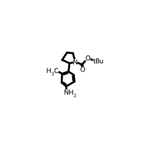 Cc1cc(N)ccc1C1CCCN1C(=O)OC(C)(C)C